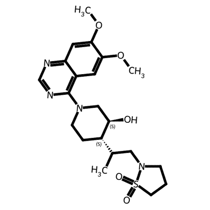 COc1cc2ncnc(N3CC[C@@H](C(C)CN4CCCS4(=O)=O)[C@H](O)C3)c2cc1OC